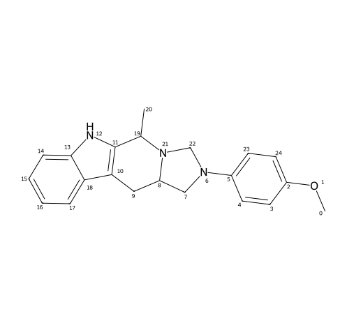 COc1ccc(N2CC3Cc4c([nH]c5ccccc45)C(C)N3C2)cc1